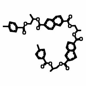 Cc1ccc(C(=O)OCC(C)OC(=O)c2ccc3cc(C(=O)OCC(C)OC(=O)c4ccc5cc(C(=O)OCC(C)OC(=O)c6ccc(C)cc6)ccc5c4)ccc3c2)cc1